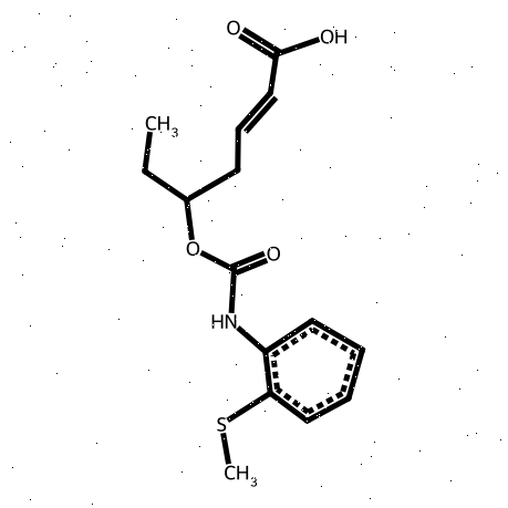 CCC(CC=CC(=O)O)OC(=O)Nc1ccccc1SC